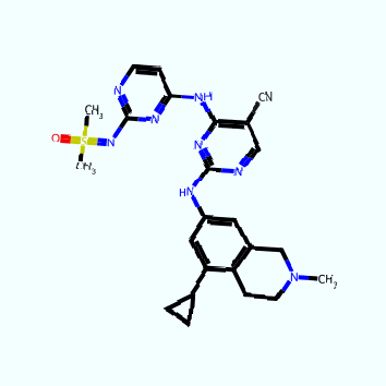 CN1CCc2c(cc(Nc3ncc(C#N)c(Nc4ccnc(N=S(C)(C)=O)n4)n3)cc2C2CC2)C1